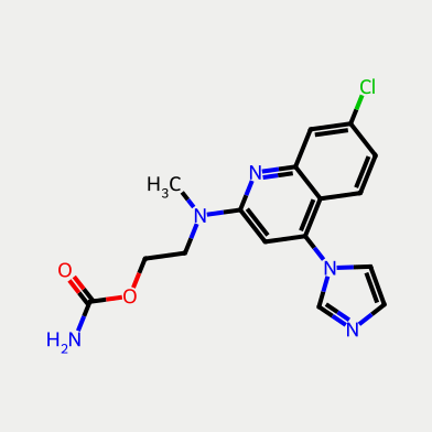 CN(CCOC(N)=O)c1cc(-n2ccnc2)c2ccc(Cl)cc2n1